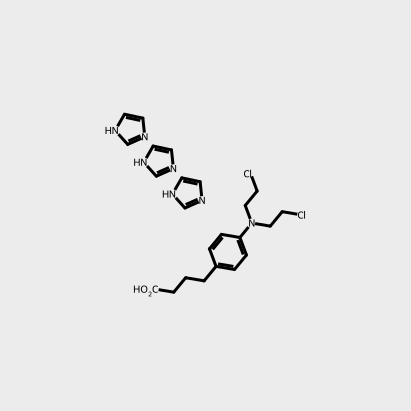 O=C(O)CCCc1ccc(N(CCCl)CCCl)cc1.c1c[nH]cn1.c1c[nH]cn1.c1c[nH]cn1